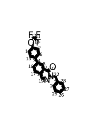 O=c1c2cc(-c3ccc(OC(F)(F)F)cc3)ccc2cnn1Cc1ccccc1